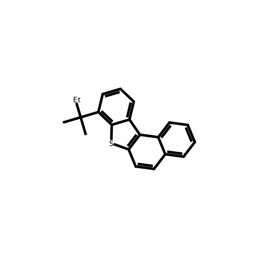 CCC(C)(C)c1cccc2c1sc1ccc3ccccc3c12